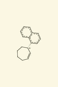 C1=C[C@@H](c2cccc3ccccc23)CCCC1